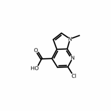 Cn1ccc2c(C(=O)O)cc(Cl)nc21